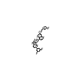 Fc1cc(F)cc(-c2ccc3nnc(CNc4ccnc5cc(OCCN6CC[C@@H](F)C6)cnc45)n3n2)c1